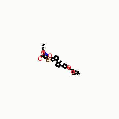 Cc1c(-c2ccc(OCCO[Si](C)(C)C(C)(C)C)cc2)cccc1-c1cccc2c1CC[C@@H]2Oc1nc(OCC[Si](C)(C)C)c(C=O)cc1Br